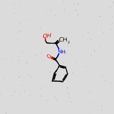 C=C(CO)NC(=O)c1ccccc1